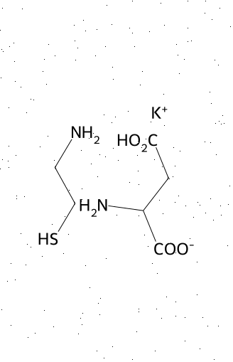 NC(CC(=O)O)C(=O)[O-].NCCS.[K+]